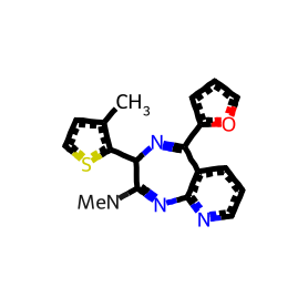 CNC1=Nc2ncccc2C(c2ccco2)=NC1c1sccc1C